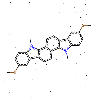 CSc1ccc2c(c1)c1ccc3c(ccc4c5cc(SC)ccc5n(C)c43)c1n2C